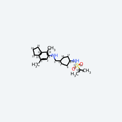 Cc1cc(NCC2CCC(NS(=O)(=O)C(C)C)CC2)c(C)c2c1CCC2